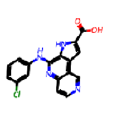 O=C(O)c1cc2c([nH]1)c(Nc1cccc(Cl)c1)nc1ccncc12